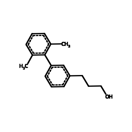 Cc1cccc(C)c1-c1cccc(CCCO)c1